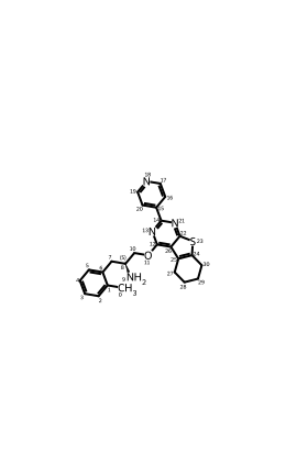 Cc1ccccc1C[C@H](N)COc1nc(-c2ccncc2)nc2sc3c(c12)CCCC3